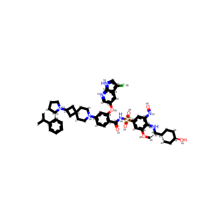 CC(C)c1ccccc1[C@@H]1CCCN1C1CC2(CCN(c3ccc(C(=O)NS(=O)(=O)c4cc(N=O)c5c(c4)OC[C@@H]([C@H]4CC[C@H](O)CC4)N5)c(Oc4cnc5[nH]cc(F)c5c4)c3)CC2)C1